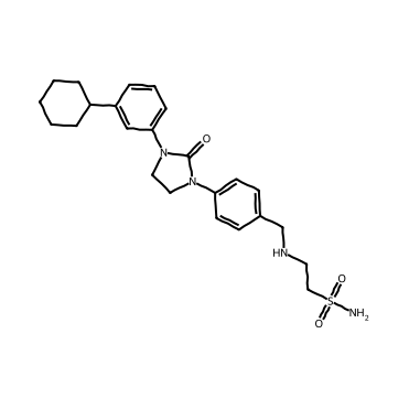 NS(=O)(=O)CCNCc1ccc(N2CCN(c3cccc(C4CCCCC4)c3)C2=O)cc1